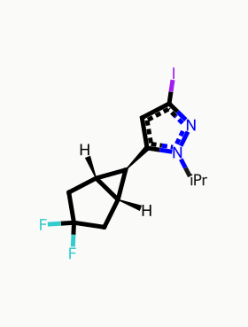 CC(C)n1nc(I)cc1[C@H]1[C@@H]2CC(F)(F)C[C@@H]21